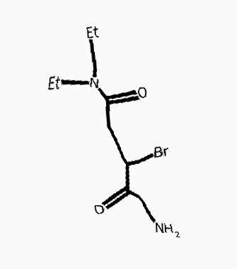 CCN(CC)C(=O)CC(Br)C(N)=O